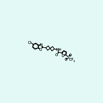 O=C(NC1CC2(C1)CC(c1nc3cc(Cl)ccc3o1)C2)c1ccc(S(=O)(=O)C(F)(F)F)o1